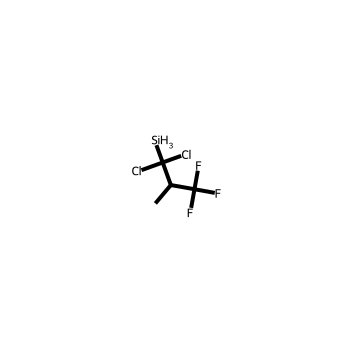 CC(C(F)(F)F)C([SiH3])(Cl)Cl